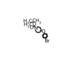 CC(C)(C)OC(=O)N1CCC[C@@H](Oc2ccc(Br)cc2)CC1